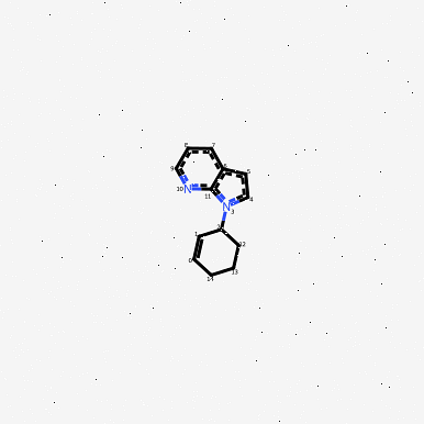 C1=CC(n2ccc3cccnc32)CCC1